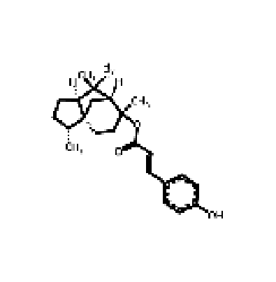 C[C@@H]1CC[C@H]2C(C)(C)[C@H]3C[C@@]12CC[C@@]3(C)OC(=O)/C=C/c1ccc(O)cc1